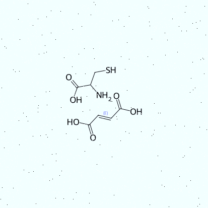 NC(CS)C(=O)O.O=C(O)/C=C/C(=O)O